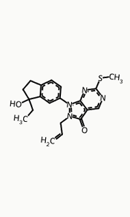 C=CCn1c(=O)c2cnc(SC)nc2n1-c1ccc2c(c1)C(O)(CC)CC2